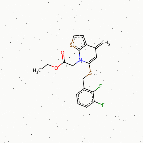 C=C1C=C(SCc2cccc(F)c2F)N(CC(=O)OCC)c2sccc21